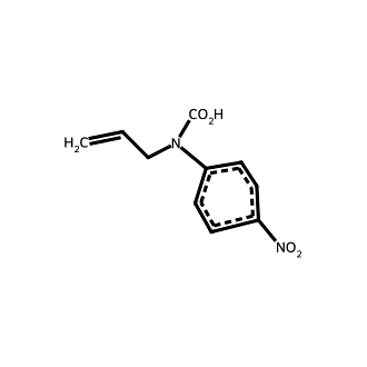 C=CCN(C(=O)O)c1ccc([N+](=O)[O-])cc1